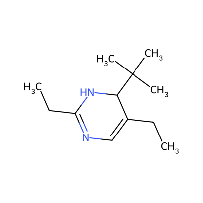 CCC1=CN=C(CC)NC1C(C)(C)C